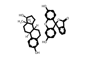 C[C@]12CC[C@@H]3c4ccc(O)cc4CC[C@H]3[C@@H]1CC[C@@H]2O.O=C1OC2(c3ccc(O)cc3Oc3cc(O)ccc32)c2ccccc21